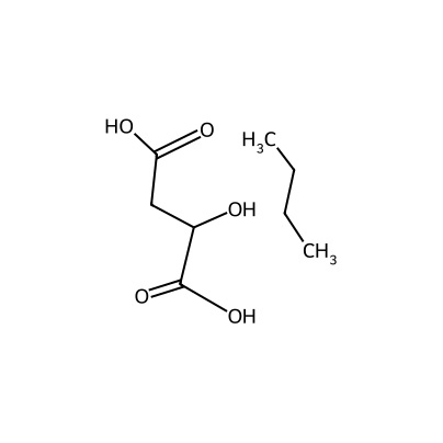 CCCC.O=C(O)CC(O)C(=O)O